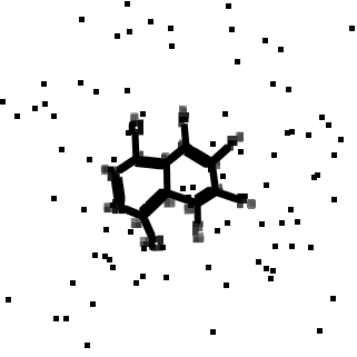 Fc1c(F)c(F)c2c(Cl)nnc(Cl)c2c1F